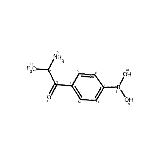 NC(C(=O)c1ccc(B(O)O)cc1)C(F)(F)F